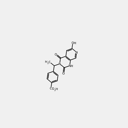 CC(c1ccc(C(=O)O)cc1)n1c(=O)[nH]c2cnc(O)cc2c1=O